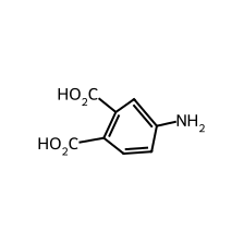 Nc1ccc(C(=O)O)c(C(=O)O)c1